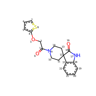 O=C(COc1cccs1)N1CCC2(CC1)C(=O)Nc1ccccc12